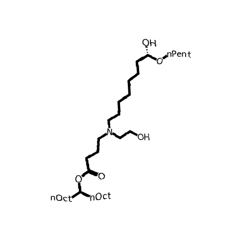 CCCCCCCCC(CCCCCCCC)OC(=O)CCCN(CCO)CCCCCCC[C@H](O)OCCCCC